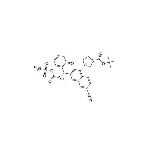 CC(C)(C)OC(=O)N1CC[C@@H](c2cc(C(NC(=O)OS(N)(=O)=O)C3=CC=CCC3=O)cc3cc(C#N)ccc23)C1